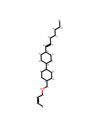 C/C=C\COCC1CCC(C2CCC(/C=C/CCCCC)CC2)CC1